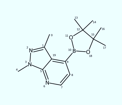 Cc1nn(C)c2nccc(B3OC(C)(C)C(C)(C)O3)c12